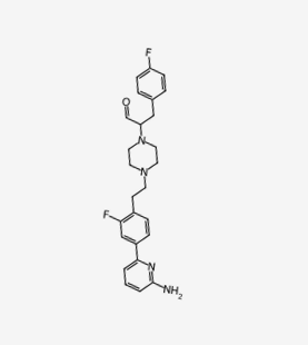 Nc1cccc(-c2ccc(CCN3CCN(C(C=O)Cc4ccc(F)cc4)CC3)c(F)c2)n1